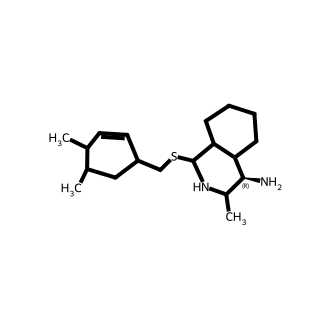 CC1C=CC(CSC2NC(C)[C@H](N)C3CCCCC23)CC1C